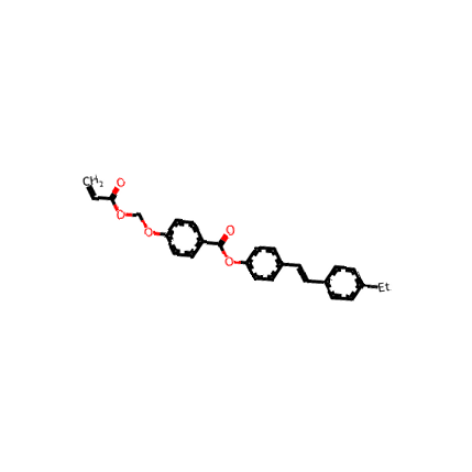 C=CC(=O)OCOc1ccc(C(=O)Oc2ccc(/C=C/c3ccc(CC)cc3)cc2)cc1